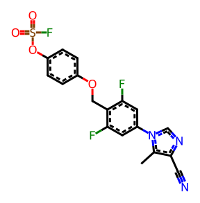 Cc1c(C#N)ncn1-c1cc(F)c(COc2ccc(OS(=O)(=O)F)cc2)c(F)c1